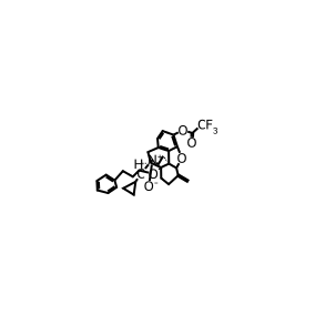 C=C1CC[C@@]2(OCCCc3ccccc3)[C@H]3Cc4ccc(OC(=O)C(F)(F)F)c5c4[C@@]2(CC[N+]3([O-])CC2CC2)C1O5